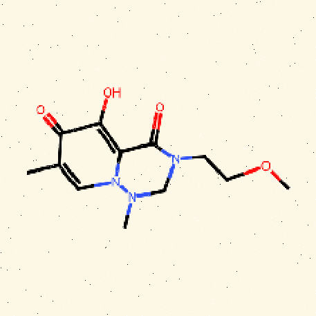 COCCN1CN(C)n2cc(C)c(=O)c(O)c2C1=O